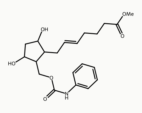 COC(=O)CCCC=CCC1C(O)CC(O)C1COC(=O)Nc1ccccc1